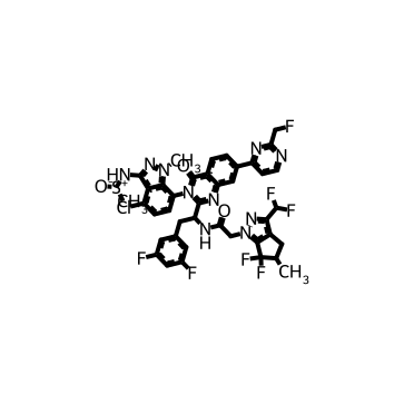 CC1Cc2c(C(F)F)nn(CC(=O)NC(Cc3cc(F)cc(F)c3)c3nc4cc(-c5ccnc(CF)n5)ccc4c(=O)n3-c3ccc(Cl)c4c(N[S+](C)[O-])nn(C)c34)c2C1(F)F